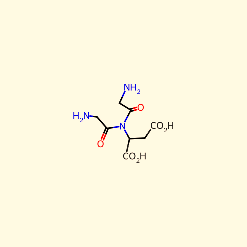 NCC(=O)N(C(=O)CN)C(CC(=O)O)C(=O)O